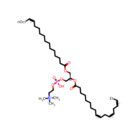 CC/C=C\C/C=C\C/C=C\CCCCCCCC(=O)O[C@H](COC(=O)CCCCCCCCCCC/C=C\CCCCCCCC)COP(=O)(O)OCC[N+](C)(C)C